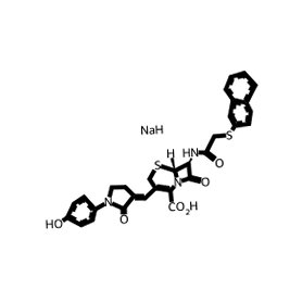 O=C(CSc1ccc2ccccc2c1)N[C@@H]1C(=O)N2C(C(=O)O)=C(/C=C3\CCN(c4ccc(O)cc4)C3=O)CS[C@H]12.[NaH]